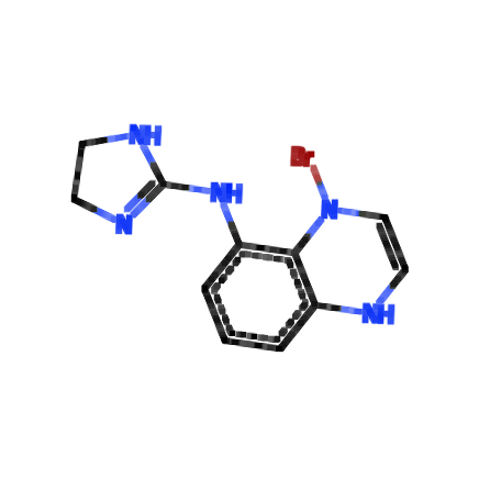 BrN1C=CNc2cccc(NC3=NCCN3)c21